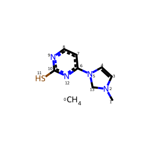 C.CN1C=CN(c2ccnc(S)n2)C1